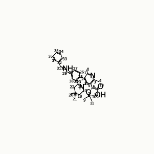 Cc1nc(C)c([C@H](OC(C)(C)C)C(=O)O)c(N2CCC(C)(C)CC2)c1-c1ccc(CNCc2ccccc2)cc1